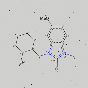 COc1ccc2c(c1)n(CC1CCCCC1C#N)c(=O)n2C